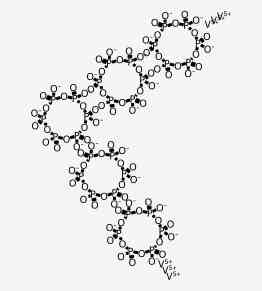 O=P1([O-])OP(=O)([O-])OP(=O)([O-])OP(=O)([O-])OP(=O)([O-])OP(=O)([O-])O1.O=P1([O-])OP(=O)([O-])OP(=O)([O-])OP(=O)([O-])OP(=O)([O-])OP(=O)([O-])O1.O=P1([O-])OP(=O)([O-])OP(=O)([O-])OP(=O)([O-])OP(=O)([O-])OP(=O)([O-])O1.O=P1([O-])OP(=O)([O-])OP(=O)([O-])OP(=O)([O-])OP(=O)([O-])OP(=O)([O-])O1.O=P1([O-])OP(=O)([O-])OP(=O)([O-])OP(=O)([O-])OP(=O)([O-])OP(=O)([O-])O1.[V+5].[V+5].[V+5].[V+5].[V+5].[V+5]